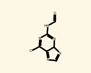 O=CNC1=N[C]2N=CN=C2C(Cl)=N1